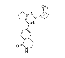 C[C@H]1CCN1c1nc2c(c(-c3ccc4c(c3)CCNC4=O)n1)CCC2